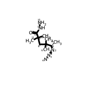 C[C@H](N=[N+]=[N-])C(C)(C)CC(C)(C)C(=O)NN